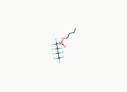 CCCC[O][Sn](=[O])[C](F)(F)C(F)(F)C(F)(F)C(F)(F)F